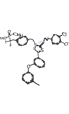 Cc1cccc(Oc2cccc(-c3nn(Cc4ccc(C(F)(F)P(=O)(O)O)cc4)/c(=N/c4ccc(Cl)c(Cl)c4)s3)c2)c1